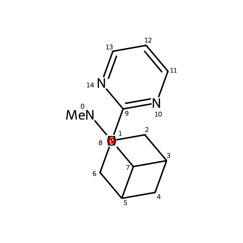 CNN1CC2CC(C1)C2Oc1ncccn1